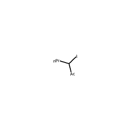 CCCC(I)C(C)=O